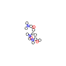 c1ccc(N(c2ccccc2)c2ccc3oc4ccc(-c5cc6c7oc8c(cccc8n6-c6ccccc6)n(-c6ccccc6)c6cc8oc9ccccc9c8cc6c6cccc5c67)cc4c3c2)cc1